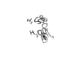 CSS(=O)(=O)c1cccc(CN2CC3CCC(C2)N3C(C)C)c1